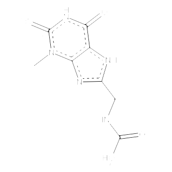 Cn1c(=O)[nH]c(=O)c2[nH]c(CNC(=O)O)nc21